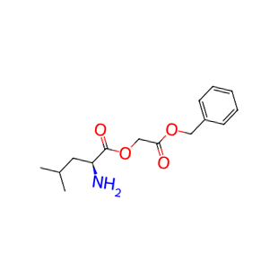 CC(C)C[C@H](N)C(=O)OCC(=O)OCc1ccccc1